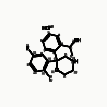 CC(O)c1ccccc1C1(c2cc(F)ccc2F)CNCCO1.Cl